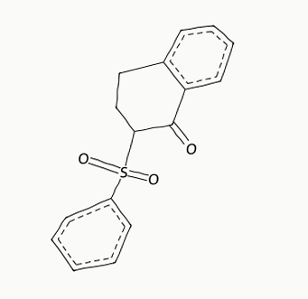 O=C1c2ccccc2CCC1S(=O)(=O)c1ccccc1